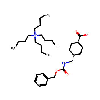 CCCC[N+](CCCC)(CCCC)CCCC.O=C(NC[C@H]1CC[C@H](C(=O)[O-])CC1)OCc1ccccc1